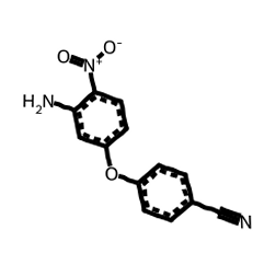 N#Cc1ccc(Oc2ccc([N+](=O)[O-])c(N)c2)cc1